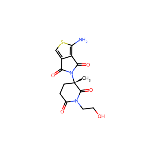 C[C@]1(N2C(=O)c3csc(N)c3C2=O)CCC(=O)N(CCO)C1=O